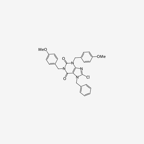 COc1ccc(Cn2c(=O)c3c(nc(Cl)n3Cc3ccccc3)n(Cc3ccc(OC)cc3)c2=O)cc1